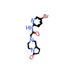 O=C(CN1CCN2C(=O)CCC2C1)Nc1ccc(Br)cn1